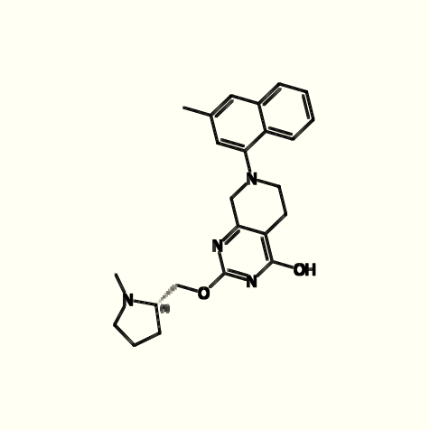 Cc1cc(N2CCc3c(O)nc(OC[C@@H]4CCCN4C)nc3C2)c2ccccc2c1